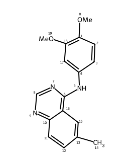 COc1ccc(Nc2ncnc3ccc(C)cc23)cc1OC